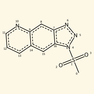 CS(=O)(=O)n1nnc2cc3ncccc3cc21